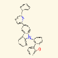 c1ccc(-c2cccc(-c3ccc4c(c3)c3ccccc3n4-c3cccc4oc5ccccc5c34)n2)cc1